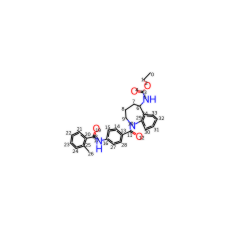 CCOC(=O)NC1CCCN(C(=O)c2ccc(NC(=O)c3ccccc3C)cc2)c2ccccc21